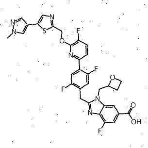 Cn1cc(-c2cnc(COc3nc(-c4cc(F)c(Cc5nc6c(F)cc(C(=O)O)cc6n5CC5CCO5)cc4F)ccc3F)s2)cn1